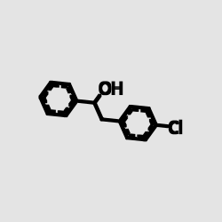 OC(Cc1ccc(Cl)cc1)c1ccccc1